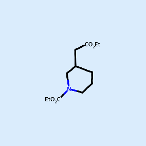 CCOC(=O)CC1CCCN(C(=O)OCC)C1